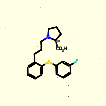 O=C(O)[C@@H]1CCCN1CCCc1ccccc1Sc1cccc(F)c1